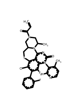 C=CC(=O)N1CC(C)N2c3nc(=O)n(-c4c(C)ccnc4C(C)C)c4c(F)c(-c5ccccc5F)c(Cl)c(c34)SCC2C1